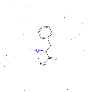 CC(=O)[C@@H](N)Cc1ccccc1